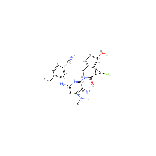 CCc1ccc(C#N)cc1Nc1cc2c(ncn2C)c(N(Cc2ccc(OC)cc2)C(=O)[C@H]2C[C@H]2F)n1